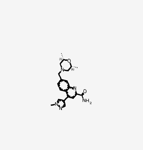 C[C@@H]1CN(Cc2ccc3c(-c4cnn(C)c4)cc(C(N)=O)nc3c2)C[C@H](C)O1